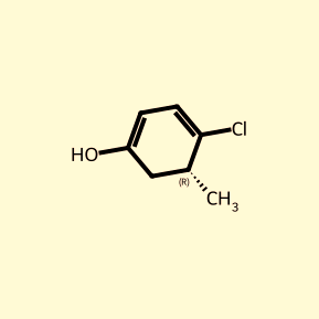 C[C@@H]1CC(O)=CC=C1Cl